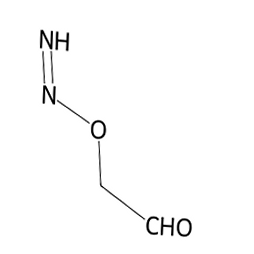 N=NOCC=O